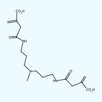 C=C(CC(=O)NCCCN(C)CCCNC(=O)CC(=C)C(=O)O)C(=O)O